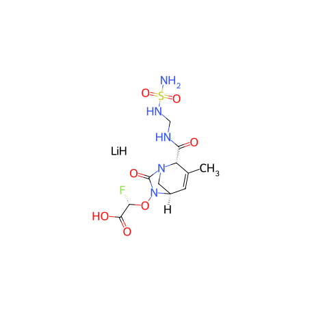 CC1=C[C@@H]2CN(C(=O)N2O[C@@H](F)C(=O)O)[C@@H]1C(=O)NCNS(N)(=O)=O.[LiH]